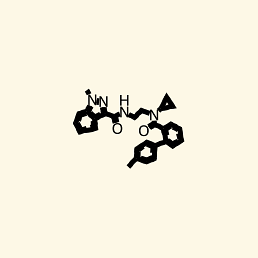 Cc1ccc(-c2ccccc2C(=O)N(CCNC(=O)c2nn(C)c3ccccc23)C2CC2)cc1